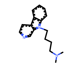 CN(C)CCCCn1c2ccccc2c2ccncc21